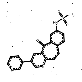 CS(=O)(=O)Nc1ccc2ccc3ncc(-c4cccnc4)cc3c(=O)c2c1